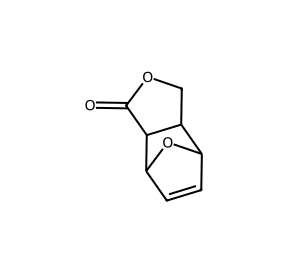 O=C1OCC2C3C=CC(O3)C12